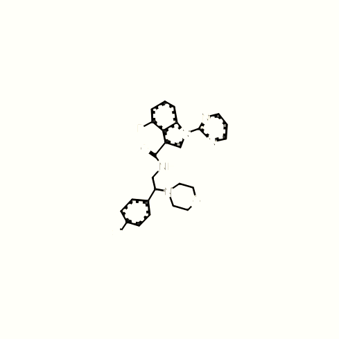 O=C(NCC(c1ccc(Cl)cc1)N1CCOCC1)c1cn(-c2ncccn2)c2cccc(F)c12